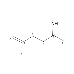 C=C(C)CCC(C)=N